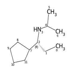 CC[C@@H](NC(C)C)C1CCCC1